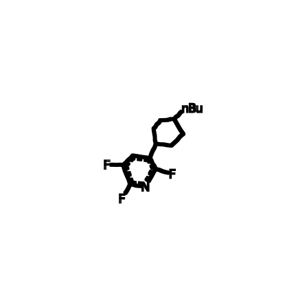 CCCCC1CCC(c2cc(F)c(F)nc2F)CC1